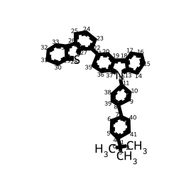 CC(C)(C)c1ccc(-c2ccc(-n3c4ccccc4c4cc(-c5cccc6c5sc5ccccc56)ccc43)cc2)cc1